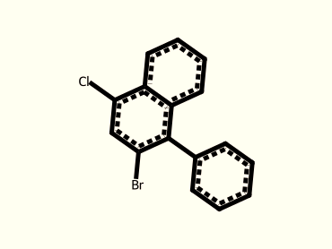 Clc1cc(Br)c(-c2ccccc2)c2ccccc12